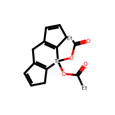 CCC(=O)[O][Ti]1([O]C(=O)CC)[C]2=C(C=CC2)CC2=[C]1CC=C2